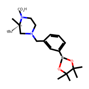 CC1(C)OB(c2cccc(CN3CCN(C(=O)O)[C@@](C)(C(C)(C)C)C3)c2)OC1(C)C